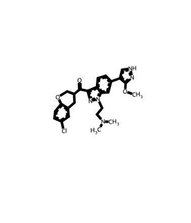 COc1n[nH]cc1-c1ccc2c(C(=O)C3COc4ccc(Cl)cc4C3)nn(CCN(C)C)c2c1